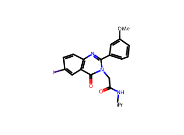 COc1cccc(-c2nc3ccc(I)cc3c(=O)n2CC(=O)NC(C)C)c1